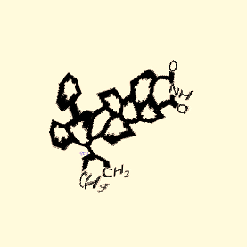 C=C/C(=C\C)c1c2c(c(-c3ccccc3)c3ccccc13)-c1ccc3c4ccc5c6c(ccc(c7ccc-2c1c73)c64)C(=O)NC5=O